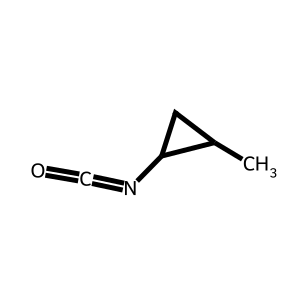 CC1CC1N=C=O